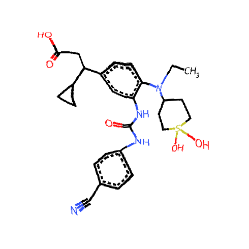 CCN(c1ccc(C(CC(=O)O)C2CC2)cc1NC(=O)Nc1ccc(C#N)cc1)C1CCS(O)(O)CC1